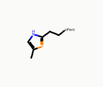 CCCCCCCc1[nH]cc(C)p1